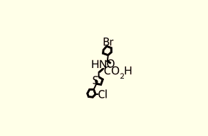 O=C(O)/C(=C\c1ccc(-c2ccccc2Cl)s1)NC(=O)c1ccc(Br)cc1